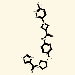 Cc1ccc(N2CC(C(=O)Nc3ccc(O[C@@H]4CCN(C(=O)c5cscn5)C4)cc3)C2)nn1